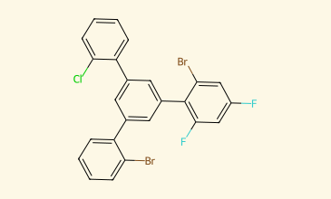 Fc1cc(F)c(-c2cc(-c3ccccc3Cl)cc(-c3ccccc3Br)c2)c(Br)c1